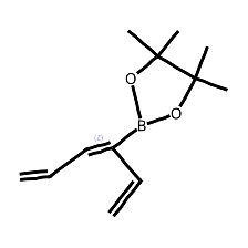 C=C/C=C(\C=C)B1OC(C)(C)C(C)(C)O1